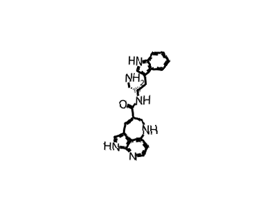 NC[C@H](Cc1c[nH]c2ccccc12)NC(=O)C1=Cc2c[nH]c3nccc(c23)NC1